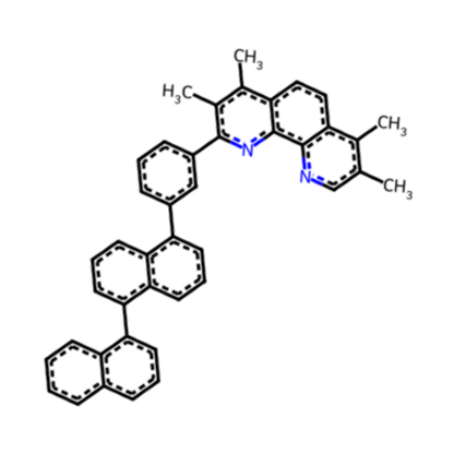 Cc1cnc2c(ccc3c(C)c(C)c(-c4cccc(-c5cccc6c(-c7cccc8ccccc78)cccc56)c4)nc32)c1C